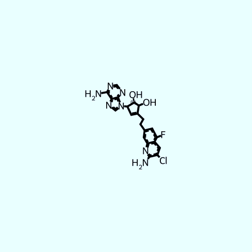 Nc1nc2cc(CCC3=CC(n4cnc5c(N)ncnc54)[C@@H](O)C3O)cc(F)c2cc1Cl